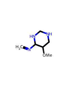 C=NC1NCNCC1OC